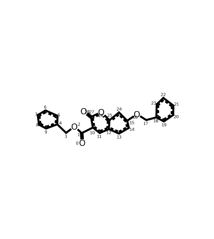 O=C(OCc1ccccc1)c1cc2ccc(OCc3ccccc3)cc2oc1=O